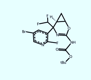 CC(C)(C)OC(=O)NC1=NC(c2cc(Br)cnc2F)(C(F)F)[C@H]2CC2O1